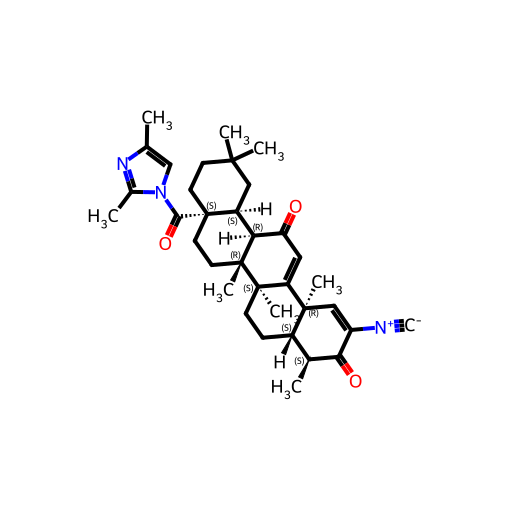 [C-]#[N+]C1=C[C@]2(C)C3=CC(=O)[C@@H]4[C@@H]5CC(C)(C)CC[C@]5(C(=O)n5cc(C)nc5C)CC[C@@]4(C)[C@]3(C)CC[C@H]2[C@H](C)C1=O